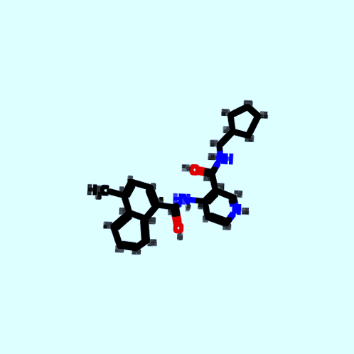 Cc1ccc(C(=O)Nc2ccncc2C(=O)NCC2CCCC2)c2ccccc12